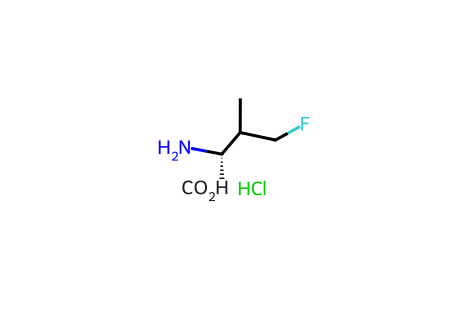 CC(CF)[C@@H](N)C(=O)O.Cl